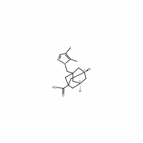 Cc1c(I)cnn1CC12C[C@H]3C[C@@H](C1)CC(C(=O)O)(C3)C2